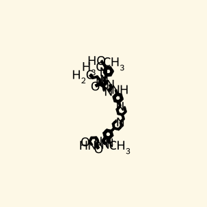 C=CCn1c(=O)c2cnc(Nc3ccc(N4CCC(CN5CCC(c6ccc7c(N8CCC(=O)NC8=O)nn(C)c7c6)CC5)CC4)cc3)nc2n1-c1cccc(C(C)(C)O)n1